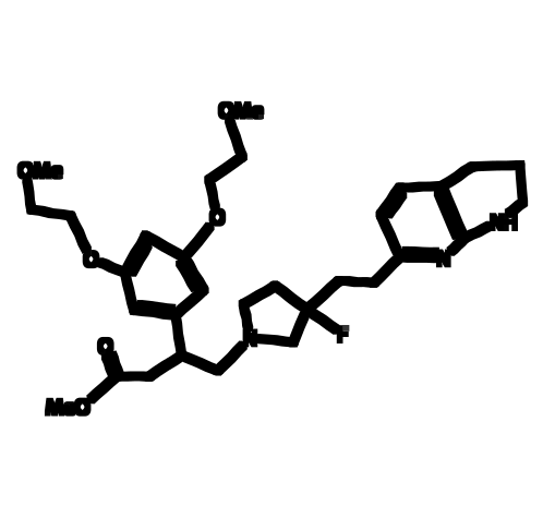 COCCOc1cc(OCCOC)cc(C(CC(=O)OC)CN2CCC(F)(CCc3ccc4c(n3)NCCC4)C2)c1